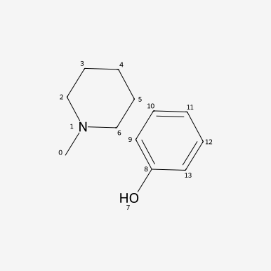 CN1CCCCC1.Oc1ccccc1